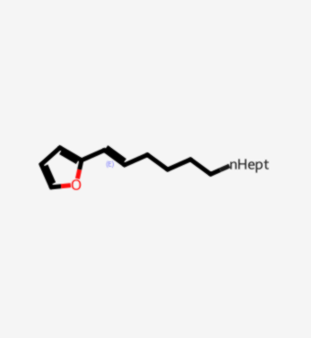 CCCCCCCCCCC/C=C/c1ccco1